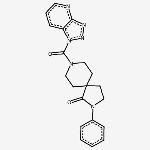 O=C(N1CCC2(CC1)CCN(c1ccccc1)C2=O)n1nnc2ncccc21